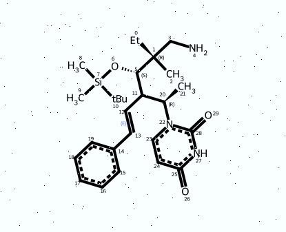 CC[C@](C)(CN)[C@@H](O[Si](C)(C)C(C)(C)C)C(/C=C/c1ccccc1)[C@@H](C)n1ccc(=O)[nH]c1=O